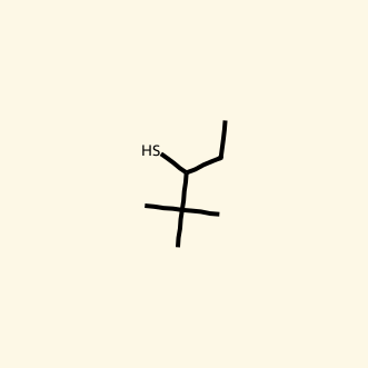 CCC(S)C(C)(C)C